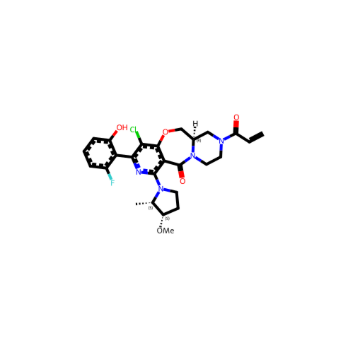 C=CC(=O)N1CCN2C(=O)c3c(N4CC[C@H](OC)[C@@H]4C)nc(-c4c(O)cccc4F)c(Cl)c3OC[C@H]2C1